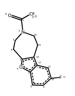 O=C(N1CCc2oc3ccc(F)cc3c2CC1)C(F)(F)F